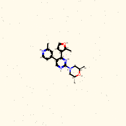 Cc1cc(-c2cnc(N3C[C@@H](C)O[C@H](C)C3)nc2-c2ccoc2C)ccn1